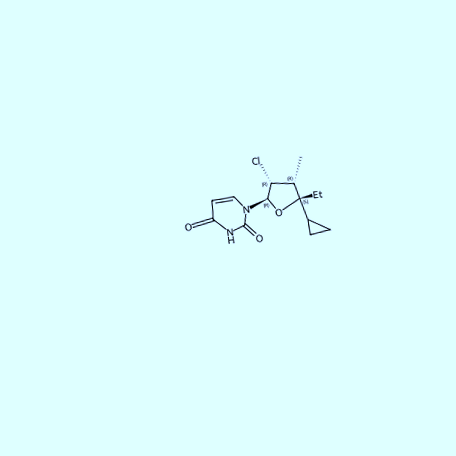 CC[C@@]1(C2CC2)O[C@@H](n2ccc(=O)[nH]c2=O)[C@H](Cl)[C@@H]1C